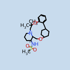 CC1(C)CN2CCC[C@H](NS(C)(=O)=O)C2COC2CCC(CC2)c2ccccc2O1